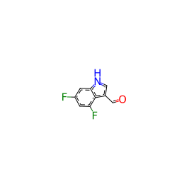 O=Cc1c[nH]c2cc(F)cc(F)c12